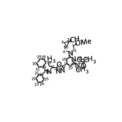 COCCN(C[C@@H]1C[C@H]1C)c1cc(-c2nnc(C(C)N=C(c3ccccc3)c3ccccc3)o2)cc(N(C)S(C)(=O)=O)n1